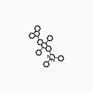 c1ccc(-c2cc(-c3ccc4c(-c5ccccc5)c5cc(-c6cc7ccccc7c7ccccc67)ccc5c(-c5ccccc5)c4c3)nc(-c3ccccc3)n2)cc1